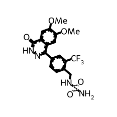 COc1cc2c(-c3ccc(CNS(N)(=O)=O)c(C(F)(F)F)c3)n[nH]c(=O)c2cc1OC